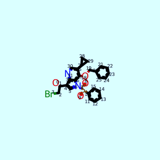 O=C(CBr)c1cn(S(=O)(=O)c2ccccc2)c2c(OCc3ccccc3)c(C3CC3)cnc12